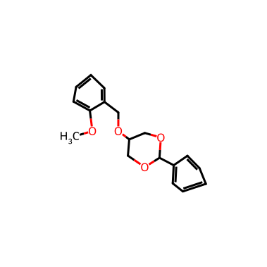 COc1ccccc1COC1COC(c2ccccc2)OC1